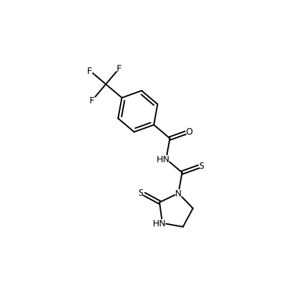 O=C(NC(=S)N1CCNC1=S)c1ccc(C(F)(F)F)cc1